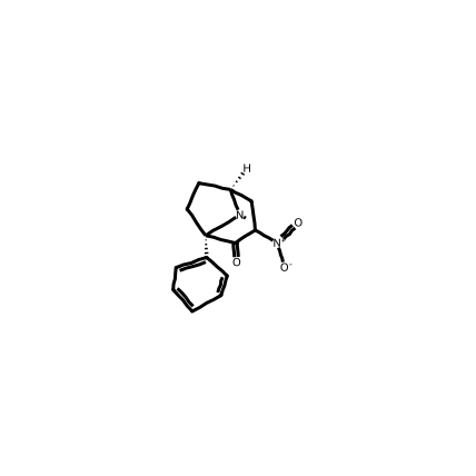 CN1[C@H]2CC[C@]1(c1ccccc1)C(=O)C([N+](=O)[O-])C2